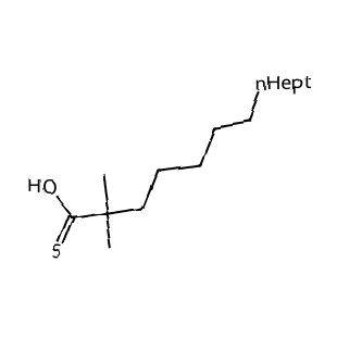 CCCCCCCCCCCCC(C)(C)C(O)=S